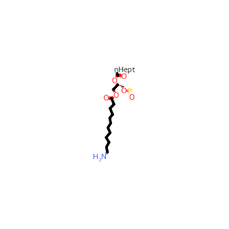 CCCCCCCC(=O)O[C@H](COP=O)COC(=O)CCCCCCCCCCCN